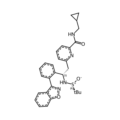 CC(C)(C)[S@+]([O-])N[C@@H](Cc1cccc(C(=O)NCC2CC2)n1)c1ccccc1-c1noc2ccccc12